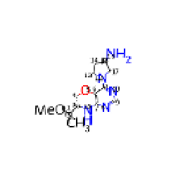 CO[C@H](C)[C@@H]1COc2c(ncnc2N2CC[C@@H](N)C2)N1